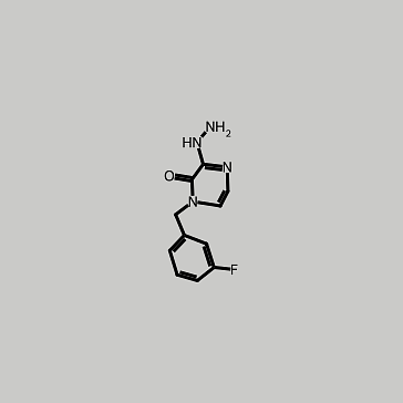 NNc1nccn(Cc2cccc(F)c2)c1=O